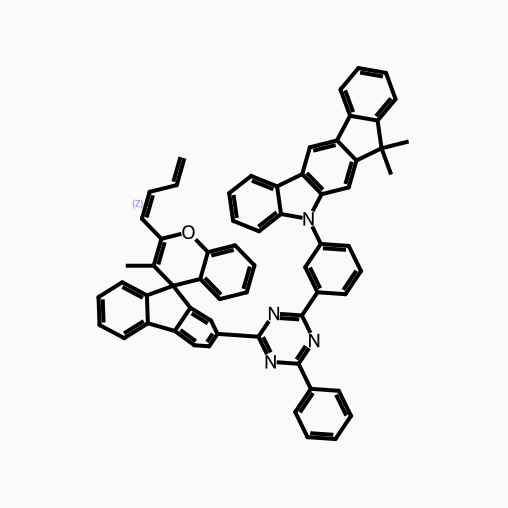 C=C/C=C\C1=C(C)C2(c3ccccc3O1)c1ccccc1-c1ccc(-c3nc(-c4ccccc4)nc(-c4cccc(-n5c6ccccc6c6cc7c(cc65)C(C)(C)c5ccccc5-7)c4)n3)cc12